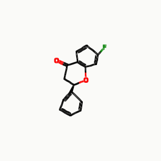 O=C1C[C@H](c2ccccc2)Oc2cc(F)ccc21